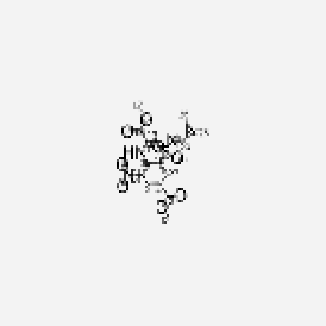 COC(=O)c1cc([N+](=O)[O-])c(N[C@H](C)C(=O)OC)c(S(=O)(=O)N=CN(C)C)c1